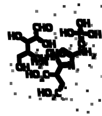 NC=O.Nc1c[nH]c(C(CC(=O)O)C(=O)O)n1.O=CC(O)C(O)C(O)CO.O=P(O)(O)O